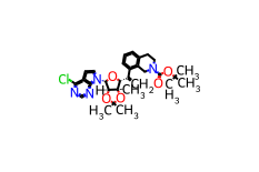 C=C(c1cccc2c1CN(C(=O)OC(C)(C)C)CC2)[C@H]1O[C@@H](n2ccc3c(Cl)ncnc32)[C@@H]2OC(C)(C)O[C@]12C